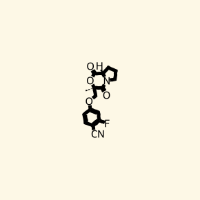 C[C@]1(COc2ccc(C#N)c(F)c2)OC(=O)[C@@H]2CCCN2C1=O